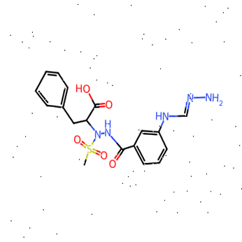 CS(=O)(=O)N(NC(=O)c1cccc(NC=NN)c1)C(Cc1ccccc1)C(=O)O